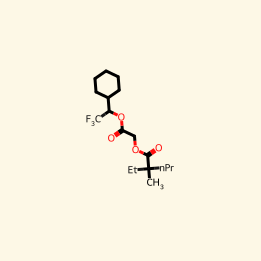 CCCC(C)(CC)C(=O)OCC(=O)OC(C1CCCCC1)C(F)(F)F